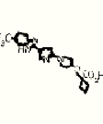 O=C(O)C1(COC2CCN(c3ccc(-c4nc5ccc(C(F)(F)F)cc5[nH]4)cn3)CC2)CCC1